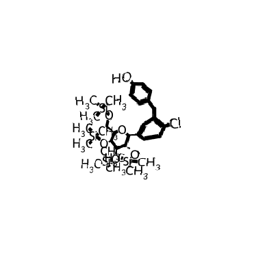 C[Si](C)(C)OC[C@H]1O[C@@H](c2ccc(Cl)c(Cc3ccc(O)cc3)c2)[C@H](O[Si](C)(C)C)[C@@H](O[Si](C)(C)C)[C@@H]1O[Si](C)(C)C